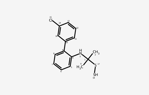 CC(C)(Nc1ccccc1-c1cccc(Cl)c1)SS